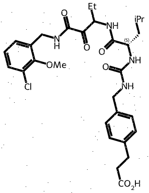 CCC(NC(=O)[C@H](CC(C)C)NC(=O)NCc1ccc(CCC(=O)O)cc1)C(=O)C(=O)NCc1cccc(Cl)c1OC